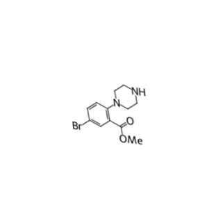 COC(=O)c1cc(Br)ccc1N1CCNCC1